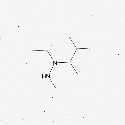 CCN(NC)C(C)C(C)C